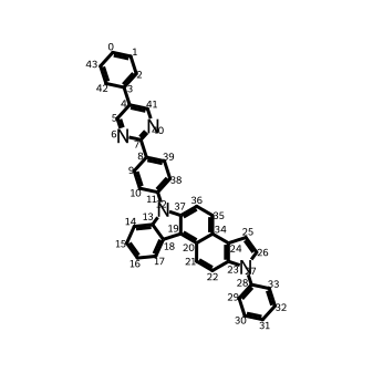 c1ccc(-c2cnc(-c3ccc(-n4c5ccccc5c5c6ccc7c(ccn7-c7ccccc7)c6ccc54)cc3)nc2)cc1